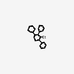 CCc1c(-c2ccccc2)ccc(-c2ccccc2)c1-c1ccccc1